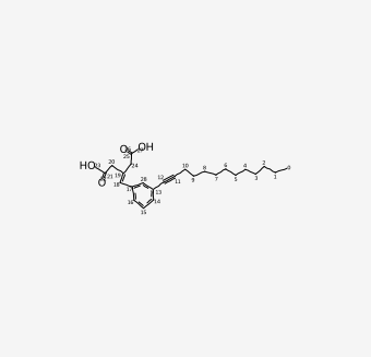 CCCCCCCCCCCC#Cc1cccc(C=C(CC(=O)O)CC(=O)O)c1